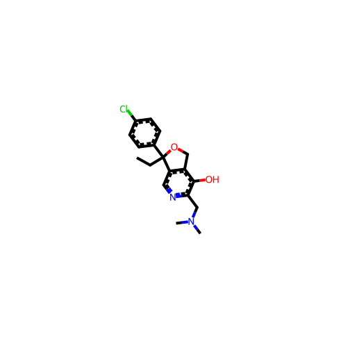 CCC1(c2ccc(Cl)cc2)OCc2c1cnc(CN(C)C)c2O